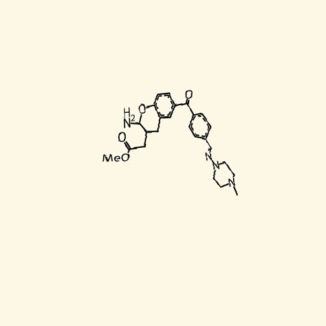 COC(=O)CC1Cc2cc(C(=O)c3ccc(C=NN4CCN(C)CC4)cc3)ccc2OC1N